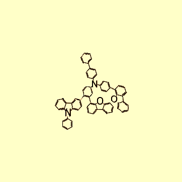 c1ccc(-c2ccc(N(c3ccc(-c4cccc5c4oc4ccccc45)cc3)c3ccc(-c4ccc5c(c4)c4ccccc4n5-c4ccccc4)c(-c4cccc5c4oc4ccccc45)c3)cc2)cc1